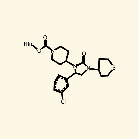 CC(C)(C)OC(=O)N1CCC(N2C(=O)N(C3CCSCC3)CC2c2cccc(Cl)c2)CC1